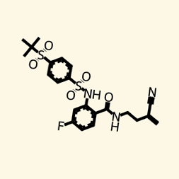 C=C(C#N)CCNC(=O)c1ccc(F)cc1NS(=O)(=O)c1ccc(S(=O)(=O)C(C)(C)C)cc1